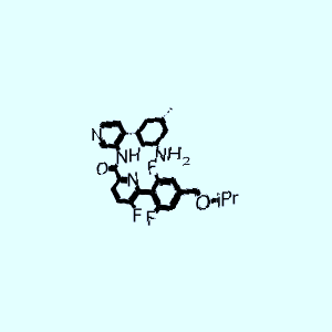 CC(C)OCc1cc(F)c(-c2nc(C(=O)Nc3cnccc3[C@@H]3C[C@H](C)C[C@H](N)C3)ccc2F)c(F)c1